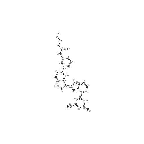 CCCCC(=O)Nc1cncc(-c2ccc3[nH]nc(-c4cc5c(-c6cc(O)cc(F)c6)ccnc5[nH]4)c3n2)c1